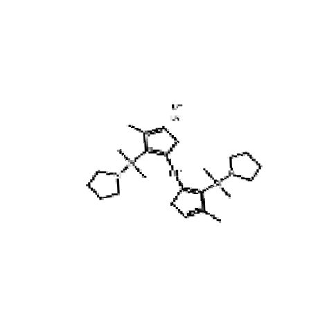 CC1=CC[C]([Hf+2][C]2=C([Si](C)(C)N3CCCC3)C(C)=CC2)=C1[Si](C)(C)N1CCCC1.[Br-].[Br-]